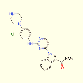 CNC(=O)c1cn(-c2ccnc(Nc3ccc(N4CCNCC4)c(Cl)c3)n2)c2ccccc12